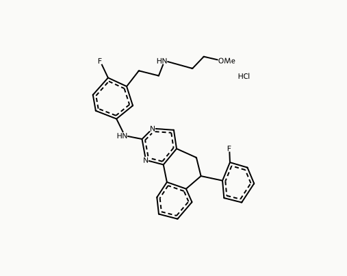 COCCNCCc1cc(Nc2ncc3c(n2)-c2ccccc2C(c2ccccc2F)C3)ccc1F.Cl